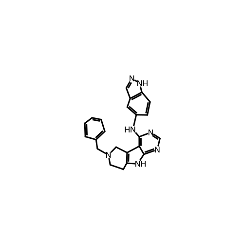 c1ccc(CN2CCc3[nH]c4ncnc(Nc5ccc6[nH]ncc6c5)c4c3C2)cc1